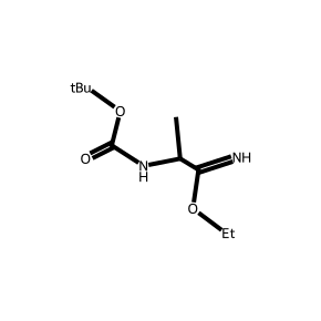 CCOC(=N)C(C)NC(=O)OC(C)(C)C